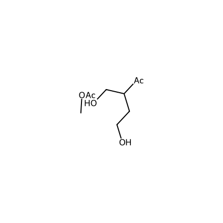 CC(=O)C(CO)CCO.COC(C)=O